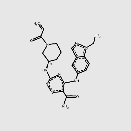 C=CC(=O)N1CCC[C@@H](Nc2nnc(C(N)=O)c(Nc3ccc4c(cnn4CC)c3)n2)C1